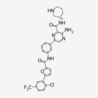 Nc1ncc(-c2cccc(NC(=O)c3ccc(-c4cc(C(F)(F)F)ccc4Cl)o3)c2)nc1C(=O)N[C@H]1CCCNC1